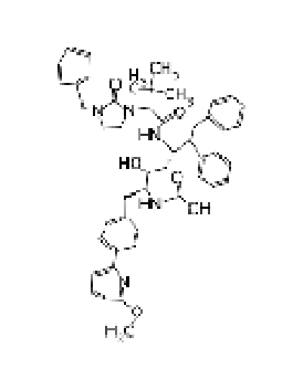 COc1cccc(-c2ccc(C[C@H](NC(=O)O)[C@H](O)C[C@H](NC(=O)[C@@H](N3CCN(Cc4ccccc4)C3=O)C(C)(C)C)C(Cc3ccccc3)c3ccccc3)cc2)n1